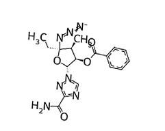 CC[C@@]1(N=[N+]=[N-])O[C@@H](n2cnc(C(N)=O)n2)[C@H](OC(=O)c2ccccc2)[C@@H]1C